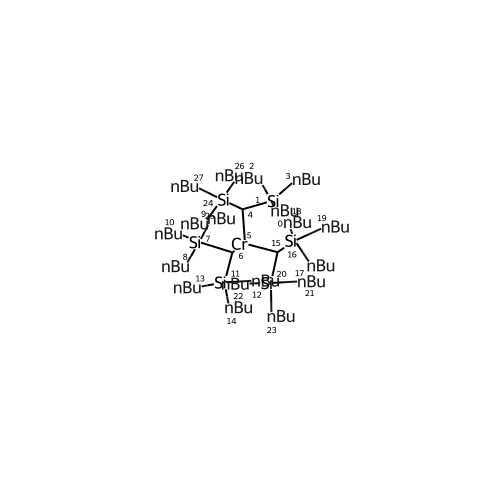 CCCC[Si](CCCC)(CCCC)[CH]([Cr]([CH]([Si](CCCC)(CCCC)CCCC)[Si](CCCC)(CCCC)CCCC)[CH]([Si](CCCC)(CCCC)CCCC)[Si](CCCC)(CCCC)CCCC)[Si](CCCC)(CCCC)CCCC